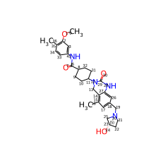 COc1cc(NC(=O)C2CCC(N3Cc4c(C)cc(CN5CC[C@H](O)C5)cc4NC3=O)CC2)ccc1C